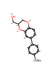 COc1ccc(-c2ccc3c(c2)OC(CO)CO3)cc1